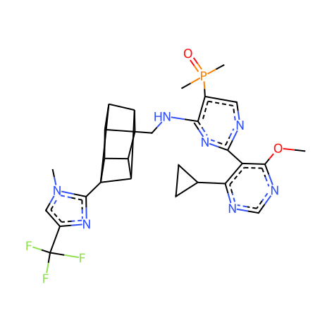 COc1ncnc(C2CC2)c1-c1ncc(P(C)(C)=O)c(NCC23C4C5C2C2C3C4C52c2nc(C(F)(F)F)cn2C)n1